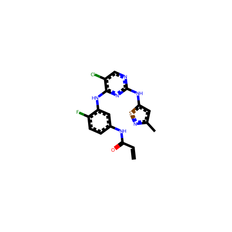 C=CC(=O)Nc1ccc(F)c(Nc2nc(Nc3cc(C)ns3)ncc2Cl)c1